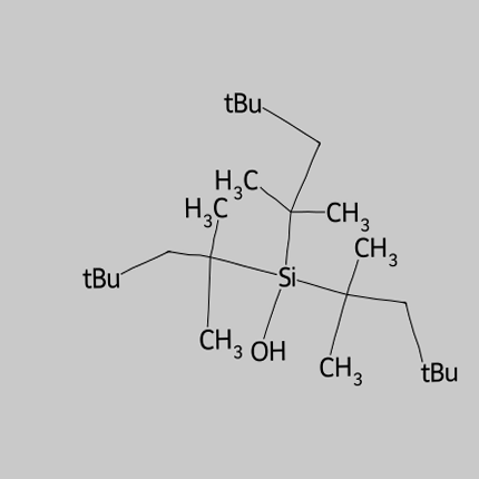 CC(C)(C)CC(C)(C)[Si](O)(C(C)(C)CC(C)(C)C)C(C)(C)CC(C)(C)C